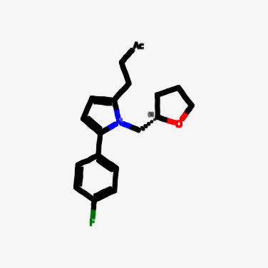 CC(=O)CCc1ccc(-c2ccc(F)cc2)n1C[C@@H]1CCCO1